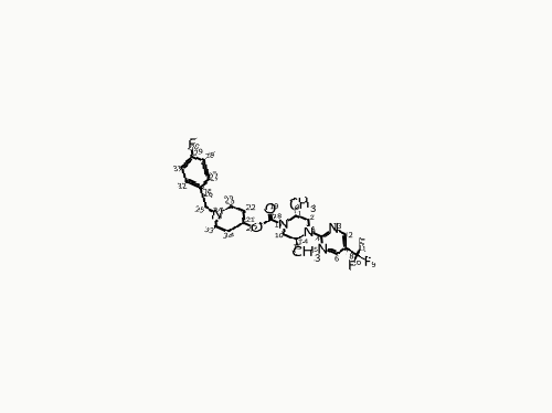 C[C@@H]1CN(c2ncc(C(F)(F)F)cn2)[C@@H](C)CN1C(=O)OC1CCN(Cc2ccc(F)cc2)CC1